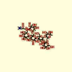 CC1(C)O[C@@](C)(CO[C@@]2(C)O[C@@](C)(CO)[C@](C)(O)C(C)(O)C2(C)O)[C@@](C)(O[C@]2(C)OC(C)(CO)[C@@](C)(O[C@]3(C)O[C@@](C)(CO[C@@]4(C)O[C@@](C)(COCC(O)C[N+](C)(C)C)[C@](C)(O)C(C)(O)C4(C)O)[C@@](C)(O[C@]4(C)OC(C)(CO)[C@@](C)(O)C(C)(O)[C@@]4(C)O)C(C)(O)C3(C)O)C(C)(O)[C@@]2(C)O)C(C)(O)C1(C)O